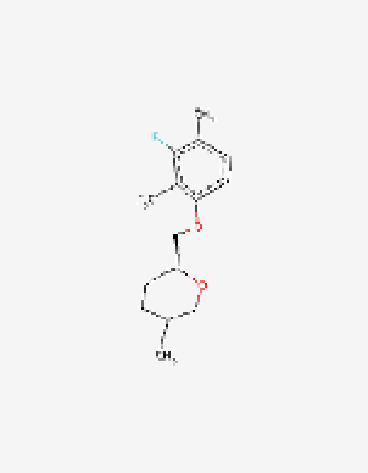 Cc1ccc(OC[C@@H]2CCC(C)CO2)c(C(F)(F)F)c1F